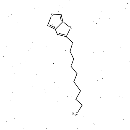 CCCCCCCCCCc1cc2cscc2s1